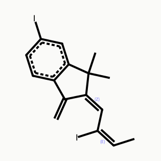 C=C1/C(=C\C(I)=C/C)C(C)(C)c2cc(I)ccc21